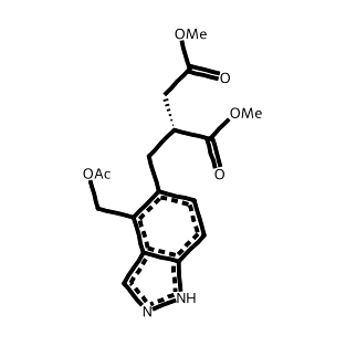 COC(=O)C[C@@H](Cc1ccc2[nH]ncc2c1COC(C)=O)C(=O)OC